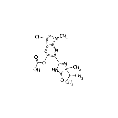 CC(C)C1(C)N=C(c2nc3c(cc2OC(=O)O)c(Cl)cn3C)NC1=O